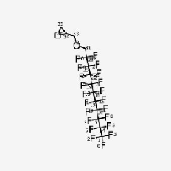 FC(F)(F)C(F)(F)C(F)(F)C(F)(F)C(F)(F)C(F)(F)C(F)(F)C(F)(F)C(F)(F)C(F)(F)COCC1CO1